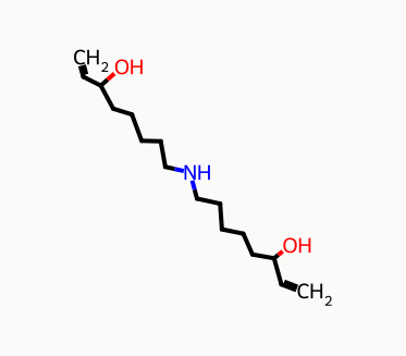 C=CC(O)CCCCCNCCCCCC(O)C=C